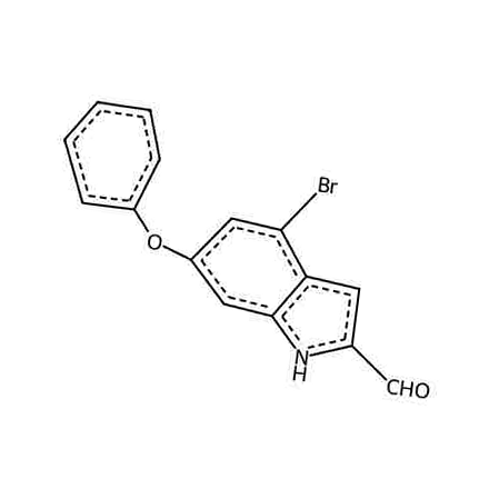 O=Cc1cc2c(Br)cc(Oc3ccccc3)cc2[nH]1